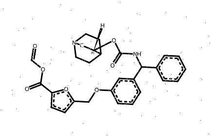 O=COC(=O)c1ccc(COc2cccc(C(NC(=O)O[C@H]3CN4CCC3CC4)c3ccccc3)c2)o1